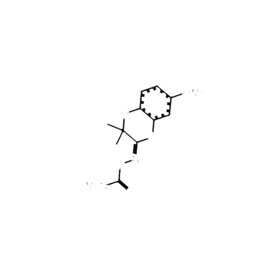 CNC(=O)ON=C1Oc2cc(OC)ccc2OC1(C)C